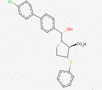 O=C(O)[C@@H]1[C@@H]([C@@H](O)c2ccc(-c3ccc(Cl)cc3)cc2)CC[C@H]1Sc1ccccc1